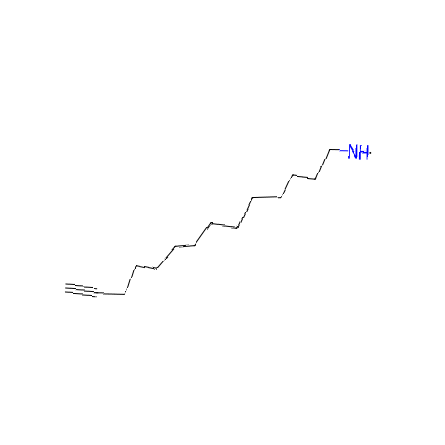 C#CCCCCCCCCCCCC[NH]